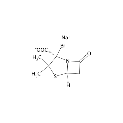 CC1(C)S[C@@H]2CC(=O)N2[C@@]1(Br)C(=O)[O-].[Na+]